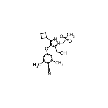 Cc1cc(Oc2c(C3CCC3)nn(CS(C)(=O)=O)c2CO)cc(C)c1C#N